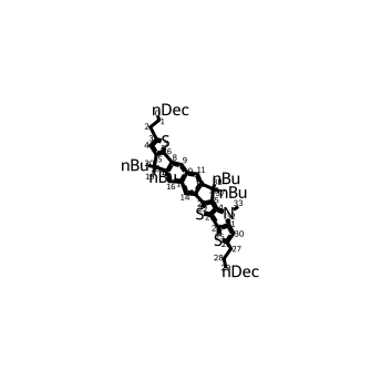 CCCCCCCCCCCCc1cc2c(s1)-c1cc3cc4c(cc3cc1C2(CCCC)CCCC)-c1sc2c3sc(CCCCCCCCCCCC)cc3n(C)c2c1C4(CCCC)CCCC